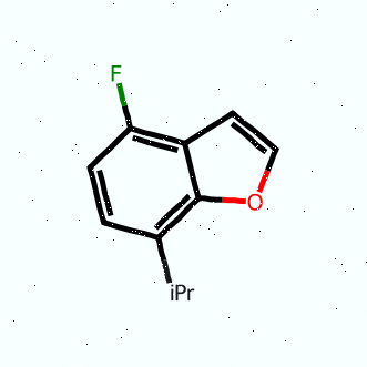 CC(C)c1ccc(F)c2ccoc12